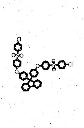 O=S(=O)(c1ccc(Cl)cc1)c1ccc(Oc2ccc(C3(c4ccc(Oc5ccc(S(=O)(=O)c6ccc(Cl)cc6)cc5)cc4)c4ccccc4-c4ccccc43)cc2)cc1